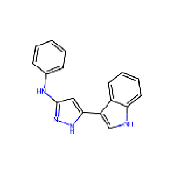 c1ccc(Nc2cc(-c3c[nH]c4ccccc34)[nH]n2)cc1